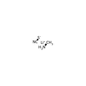 CN.N#C[S-].[Li+]